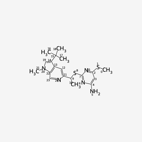 CSc1cc(N)nc(SC(C)c2cc3c(C(C)(C)C)cn(C)c3cn2)n1